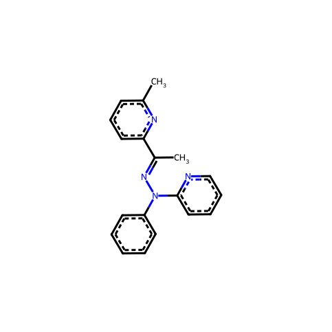 CC(=NN(c1ccccc1)c1ccccn1)c1cccc(C)n1